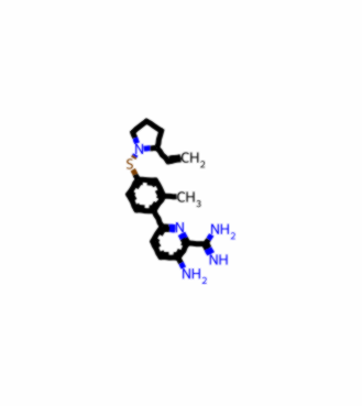 C=CC1CCCN1Sc1ccc(-c2ccc(N)c(C(=N)N)n2)c(C)c1